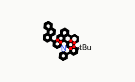 CC(C)(C)c1ccc(-c2ccccc2N(c2ccc(-c3cccc4c3ccc3ccccc34)cc2)c2ccccc2-c2cccc3cccc(C4CCCCC4)c23)cc1